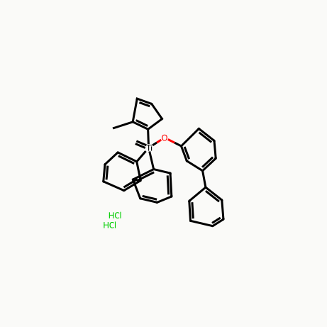 Cl.Cl.[CH2]=[Ti]([O]c1cccc(-c2ccccc2)c1)([C]1=C(C)C=CC1)([c]1ccccc1)[c]1ccccc1